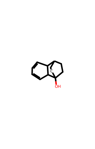 OC12CCC(CC1)C1C=CC=CC12